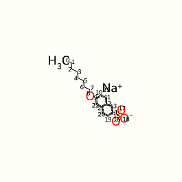 CCCCCCCCOc1ccc2cc(S(=O)(=O)[O-])ccc2c1.[Na+]